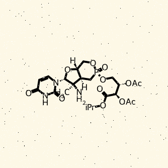 CC(=O)O[C@@H](COP1(=O)C[C@@H]2[C@@H](CO1)O[C@@H](n1ccc(=O)[nH]c1=O)[C@]2(C)N)[C@@H](OC(C)=O)C(=O)OC(C)C